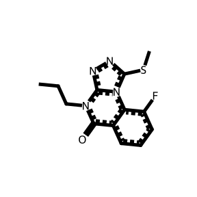 CCCn1c(=O)c2cccc(F)c2n2c(SC)nnc12